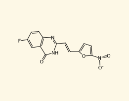 O=c1[nH]c(/C=C/c2ccc([N+](=O)[O-])o2)nc2ccc(F)cc12